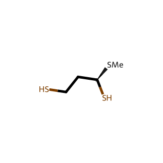 CS[C@@H](S)CCS